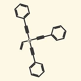 C=C[Si](C#Cc1ccccc1)(C#Cc1ccccc1)C#Cc1ccccc1